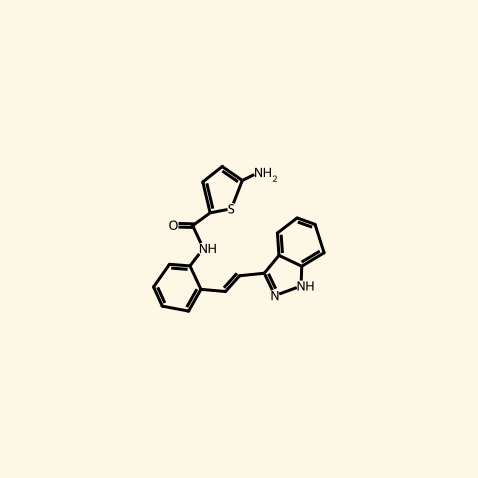 Nc1ccc(C(=O)Nc2ccccc2C=Cc2n[nH]c3ccccc23)s1